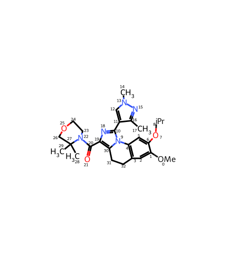 COc1cc2c(cc1OC(C)C)-n1c(-c3cn(C)nc3C)nc(C(=O)N3CCOCC3(C)C)c1CC2